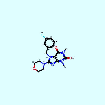 Cn1c(=O)c2c(nc(N3CCOCC3)n2Cc2cccc(F)c2)n(C)c1=O